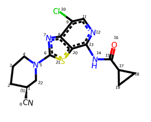 N#C[C@H]1CCCN(c2nc3c(Cl)cnc(NC(=O)C4CC4)c3s2)C1